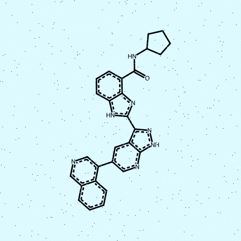 O=C(NC1CCCC1)c1cccc2[nH]c(-c3n[nH]c4ncc(-c5cncc6ccccc56)cc34)nc12